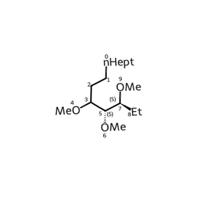 CCCCCCCCCC(OC)[C@@H](OC)[C@H](CC)OC